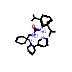 CC(C)c1cccc(C(C)C)c1NC(=O)NCC1(Nc2ccccc2-c2cccnc2)CCCCC1